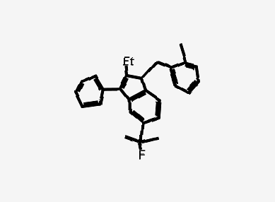 CCC1=C(c2ccccc2)c2cc(C(C)(C)F)ccc2C1Cc1ccccc1C